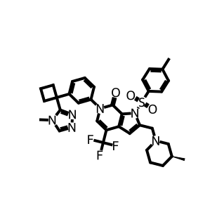 Cc1ccc(S(=O)(=O)n2c(CN3CCC[C@H](C)C3)cc3c(C(F)(F)F)cn(-c4cccc(C5(c6nncn6C)CCC5)c4)c(=O)c32)cc1